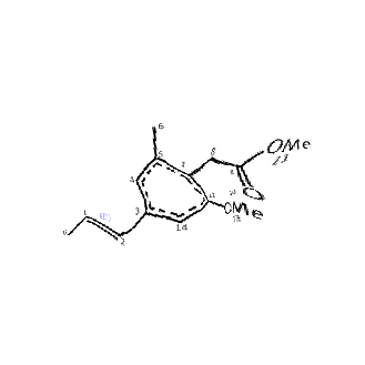 C/C=C/c1cc(C)c(CC(=O)OC)c(OC)c1